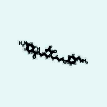 C=C(C)C(=O)N(CCCCOc1ccc(CN)cc1)CCCNC(=O)c1ccc(N)cc1